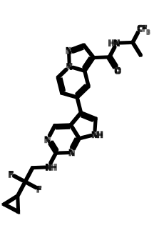 CC(NC(=O)c1cnn2ccc(-c3c[nH]c4nc(NCC(F)(F)C5CC5)ncc34)cc12)C(F)(F)F